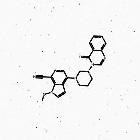 N#Cc1ccc(N2CCC[C@H](n3cnc4ccccc4c3=O)C2)c2ccn(SI)c12